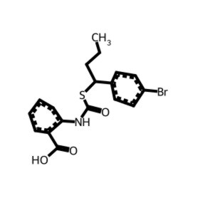 CCCC(SC(=O)Nc1ccccc1C(=O)O)c1ccc(Br)cc1